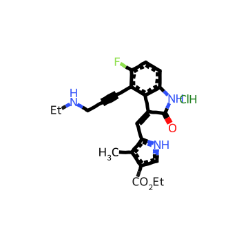 CCNCC#Cc1c(F)ccc2c1/C(=C/c1[nH]cc(C(=O)OCC)c1C)C(=O)N2.Cl